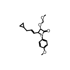 COCO[C@H]1C(=O)N(c2ccc(OC)cc2)C1/C=C/CC1CC1